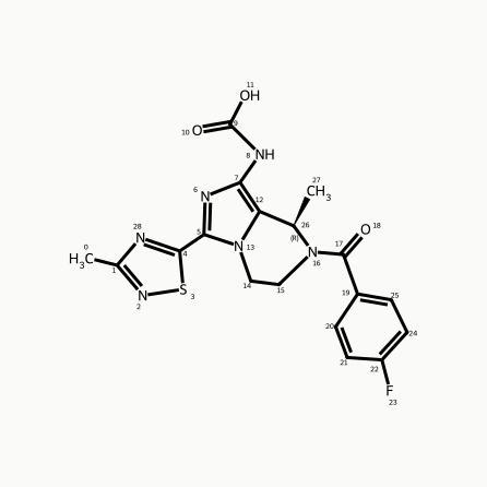 Cc1nsc(-c2nc(NC(=O)O)c3n2CCN(C(=O)c2ccc(F)cc2)[C@@H]3C)n1